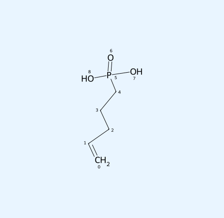 C=CCCCP(=O)(O)O